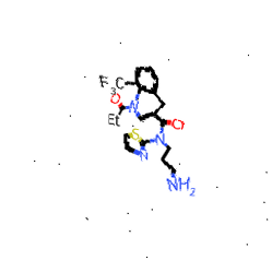 CCC(=O)N1C=C(C(=O)N(CCCN)c2nccs2)Cc2cccc(C(F)(F)F)c21